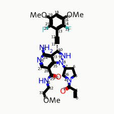 C=CC(=O)N1CCC(N2N[C@@H](C#Cc3c(F)c(OC)cc(OC)c3F)c3c(N)ncc(C(=O)NCCOC)c32)C1